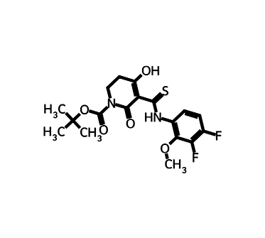 COc1c(NC(=S)C2=C(O)CCN(C(=O)OC(C)(C)C)C2=O)ccc(F)c1F